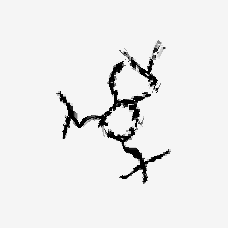 CC(C)c1nc(C(C)(C)C)nc2nc(Br)ncc12